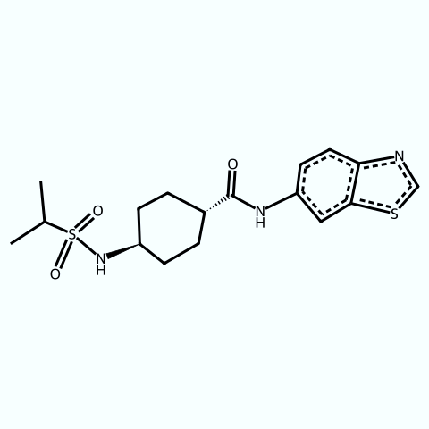 CC(C)S(=O)(=O)N[C@H]1CC[C@H](C(=O)Nc2ccc3ncsc3c2)CC1